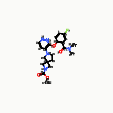 CC(C)N(C(=O)c1cc(F)ccc1Oc1nnccc1N1CCC2(CN(C(=O)OC(C)(C)C)C2)C1)C(C)C